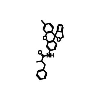 Cc1ccc2c(c1)Oc1cc(NC(=O)C(C)Cc3ccccc3)ccc1C21OCc2ccccc21